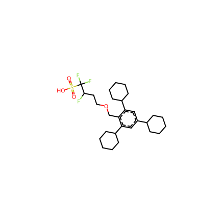 O=S(=O)(O)C(F)(F)C(F)CCOCc1c(C2CCCCC2)cc(C2CCCCC2)cc1C1CCCCC1